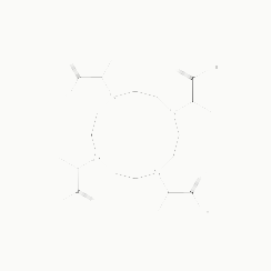 CC(C(=O)O)N1CCN(C(C)C(=O)O)CCN(C(C)C(=O)S)CCN(C(C)C(=O)O)CC1